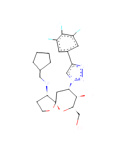 OC[C@H]1O[C@]2(OCC[C@H]2NCC2CCCC2)[C@H](O)[C@@H](n2cc(-c3cc(F)c(F)c(F)c3)nn2)[C@H]1O